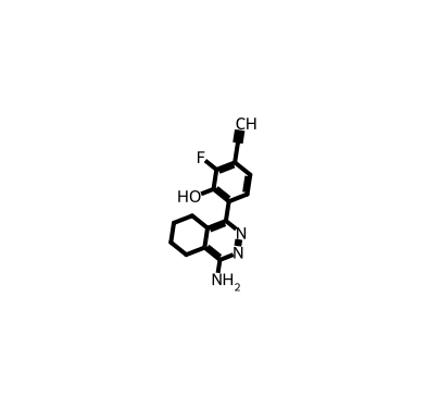 C#Cc1ccc(-c2nnc(N)c3c2CCCC3)c(O)c1F